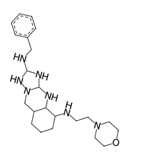 c1ccc(CNC2NC3NC4C(CCCC4NCCN4CCOCC4)CN3N2)cc1